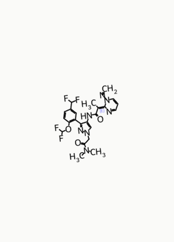 C=NN1C=CC=N/C1=C(/C)C(=O)Nc1cn(CC(=O)N(C)C)nc1-c1cc(C(F)F)ccc1OC(F)F